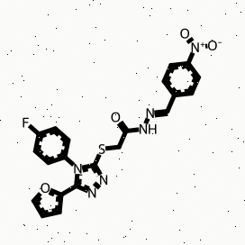 O=C(CSc1nnc(-c2ccco2)n1-c1ccc(F)cc1)NN=Cc1ccc([N+](=O)[O-])cc1